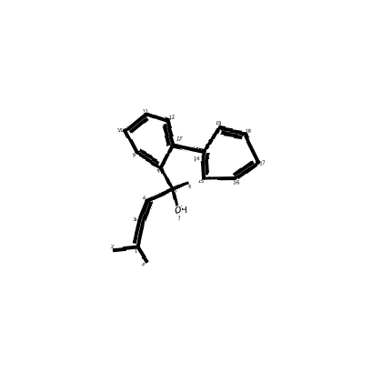 CC(C)=C=CC(C)(O)c1ccccc1-c1ccccc1